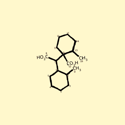 CC1CCCCC1C(C(=O)O)C1(C(=O)O)CCCCC1C